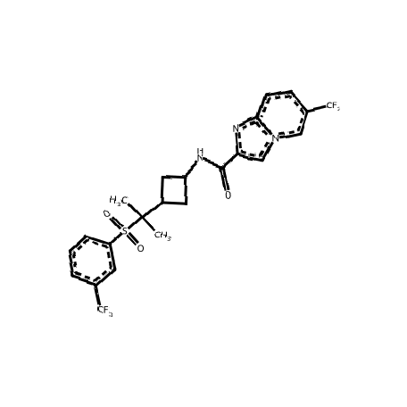 CC(C)(C1CC(NC(=O)c2cn3cc(C(F)(F)F)ccc3n2)C1)S(=O)(=O)c1cccc(C(F)(F)F)c1